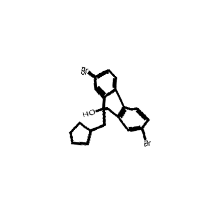 OC1(CC2CCCC2)c2cc(Br)ccc2-c2ccc(Br)cc21